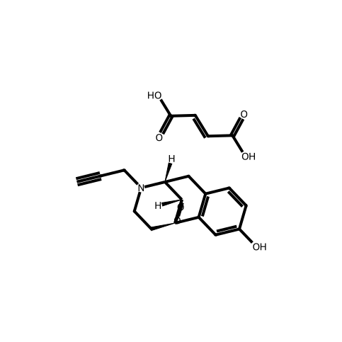 C#CCN1CC[C@]23COCO[C@H]2[C@H]1Cc1ccc(O)cc13.O=C(O)/C=C/C(=O)O